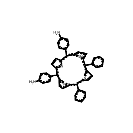 Nc1ccc(-c2c3nc(c(-c4ccc(N)cc4)c4ccc([nH]4)c(-c4ccccc4)c4nc(c(-c5ccccc5)c5ccc2[nH]5)C=C4)C=C3)cc1